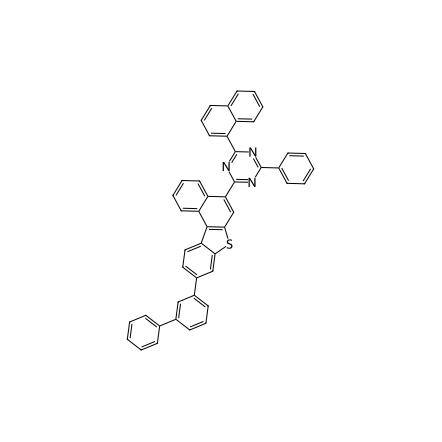 c1ccc(-c2cccc(-c3ccc4c(c3)sc3cc(-c5nc(-c6ccccc6)nc(-c6cccc7ccccc67)n5)c5ccccc5c34)c2)cc1